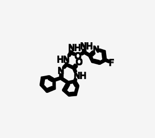 N=C(NC1N=C(c2ccccc2)c2ccccc2NC1=O)OC(=N)c1ccc(F)cn1